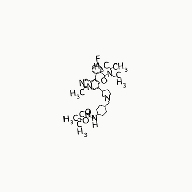 CCN(C(=O)c1cc(F)ccc1-c1cc(C2CCN(CC3CCC(NC(=O)OC(C)(C)C)CC3)C2)cn2c(C)ncc12)C(C)C